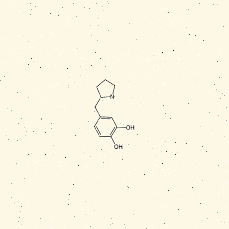 Oc1ccc(CC2CCC[N]2)cc1O